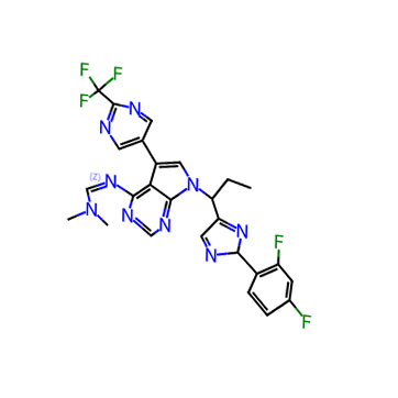 CCC(C1=NC(c2ccc(F)cc2F)N=C1)n1cc(-c2cnc(C(F)(F)F)nc2)c2c(/N=C\N(C)C)ncnc21